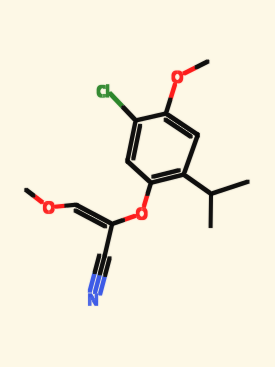 COC=C(C#N)Oc1cc(Cl)c(OC)cc1C(C)C